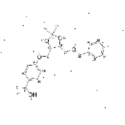 CC(O)c1ccc(OCC2OC(C)(C)OC2COCc2ccccc2)cc1